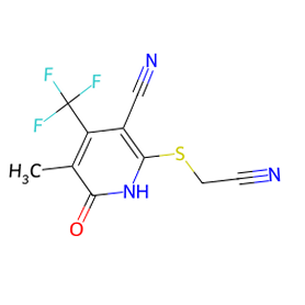 Cc1c(C(F)(F)F)c(C#N)c(SCC#N)[nH]c1=O